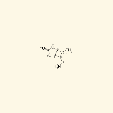 CC1C(CN)C2OC(=O)OC12